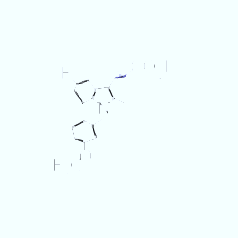 Cc1c(/C=C/C(=O)O)c2cc(F)ccc2n1Cc1cccc(OC(F)(F)F)c1